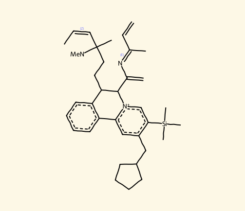 C=C/C(C)=N/C(=C)C1C(CCC(C)(/C=C\C)NC)c2ccccc2-c2cc(CC3CCCC3)c([Si](C)(C)C)c[n+]21